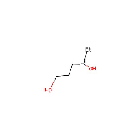 C[CH]C(O)CCCO